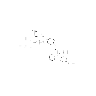 Cc1ccc(C(NC(=O)Cc2ccc3oc(C(NCC(=O)O)c4c(C)noc4C)cc3c2)c2ccccc2)c(C)c1